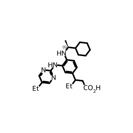 CCc1cnc(Nc2cc(C(CC)CC(=O)O)ccc2N[C@@H](C)C2CCCCC2)nc1